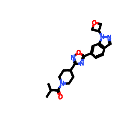 CC(C)C(=O)N1CCC(c2noc(-c3ccc4cnn(C5COC5)c4c3)n2)CC1